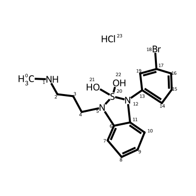 CNCCCN1c2ccccc2N(c2cccc(Br)c2)S1(O)O.Cl